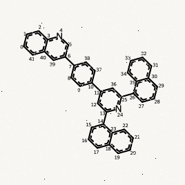 c1ccc2ncc(-c3ccc(-c4cc(-c5cccc6ccccc56)nc(-c5cccc6ccccc56)c4)cc3)cc2c1